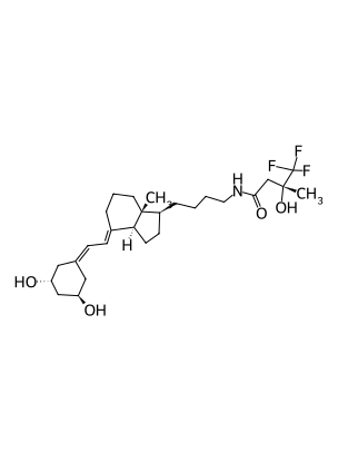 C[C@]12CCC/C(=C\C=C3C[C@@H](O)C[C@H](O)C3)[C@@H]1CC[C@@H]2CCCCNC(=O)C[C@@](C)(O)C(F)(F)F